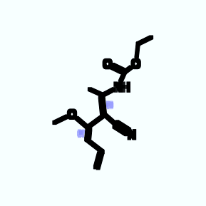 C=C/C=C(OC)\C(C#N)=C(/C)NC(=O)OCC